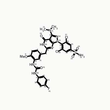 COc1ccc(Cc2nc3c(c(N(C)C)nn3-c3c(Cl)cc(S(N)(=O)=O)cc3Cl)c(=O)[nH]2)cc1NC(=O)Nc1ccc(F)cc1